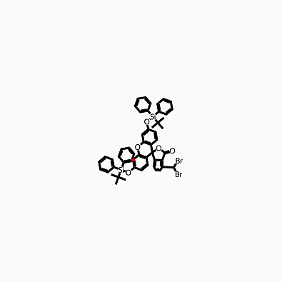 CC(C)(C)[Si](Oc1ccc2c(c1)Oc1cc(O[Si](c3ccccc3)(c3ccccc3)C(C)(C)C)ccc1C21OC(=O)c2c(C(Br)Br)cccc21)(c1ccccc1)c1ccccc1